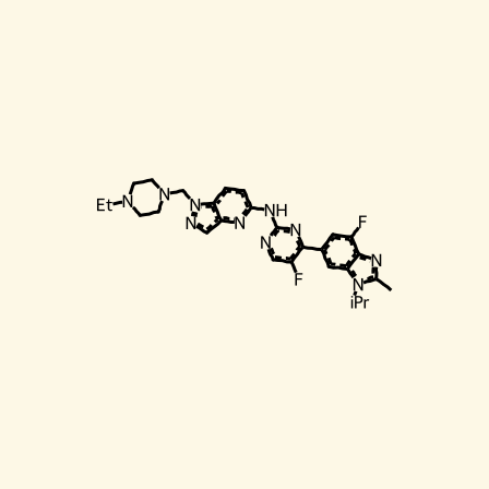 CCN1CCN(Cn2ncc3nc(Nc4ncc(F)c(-c5cc(F)c6nc(C)n(C(C)C)c6c5)n4)ccc32)CC1